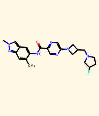 COc1cc2nn(C)cc2cc1NC(=O)c1cnc(N2CC(CN3CCC(F)C3)C2)cn1